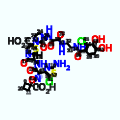 Nc1nc(/C(=N/OC2(C(=O)O)CCC2)C(=O)NC2C(=O)N3C[C@@](C(=O)O)(N4CCN(NC(=O)C(=O)NCCNC(=O)c5ccc(O)c(O)c5Cl)C4=O)S[C@H]23)c(Cl)s1